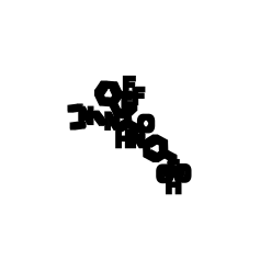 CCN(CC)CCn1cc(C(=O)Nc2ccc(C[SH](=O)=O)cc2)c(C)c1-c1ccccc1C(F)(F)F